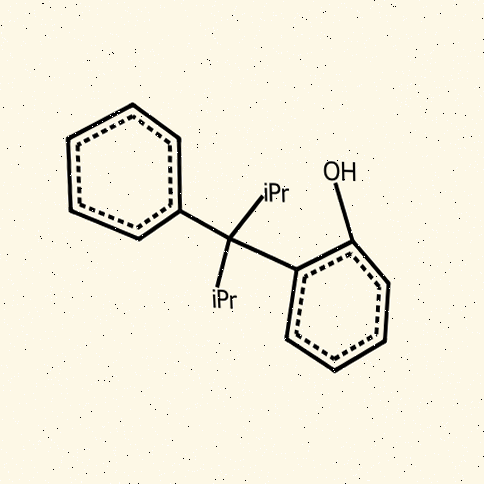 CC(C)C(c1ccccc1)(c1ccccc1O)C(C)C